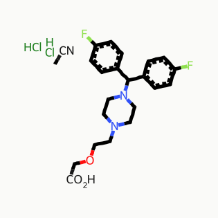 CC#N.Cl.Cl.O=C(O)COCCN1CCN(C(c2ccc(F)cc2)c2ccc(F)cc2)CC1